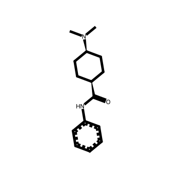 CN(C)[C@H]1CC[C@@H](C(=O)Nc2cc[c]cc2)CC1